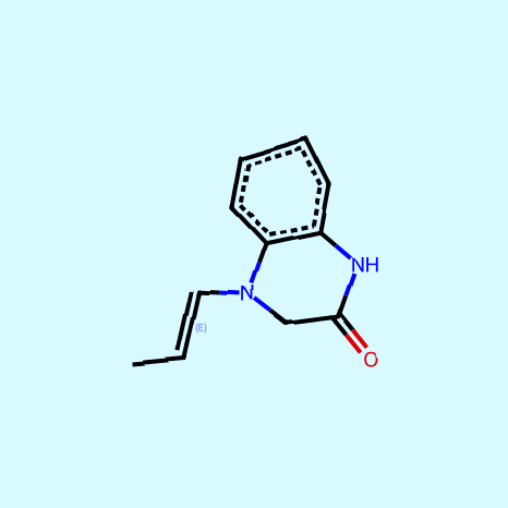 C/C=C/N1CC(=O)Nc2ccccc21